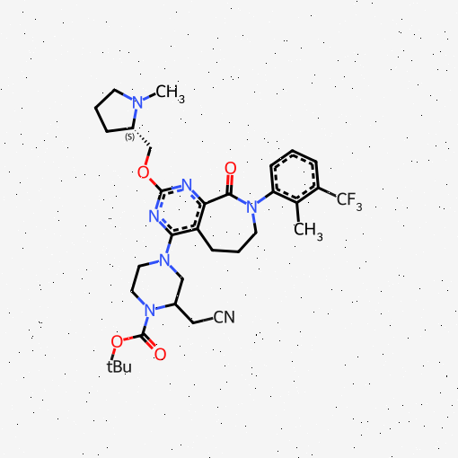 Cc1c(N2CCCc3c(nc(OC[C@@H]4CCCN4C)nc3N3CCN(C(=O)OC(C)(C)C)C(CC#N)C3)C2=O)cccc1C(F)(F)F